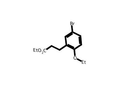 CCOC(=O)CCc1cc(Br)ccc1OCC